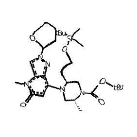 C[C@@H]1CN(c2cc(=O)n(C)c3cn(C4CCCCO4)nc23)[C@@H](CCO[Si](C)(C)C(C)(C)C)CN1C(=O)OC(C)(C)C